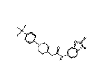 O=C(CC1=CCN(c2ccc(C(F)(F)F)cc2)CC1)Nc1ccc2[nH]c(=O)oc2c1